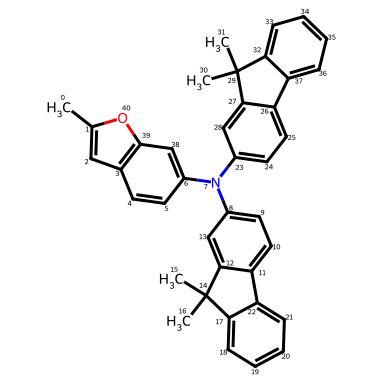 Cc1cc2ccc(N(c3ccc4c(c3)C(C)(C)c3ccccc3-4)c3ccc4c(c3)C(C)(C)c3ccccc3-4)cc2o1